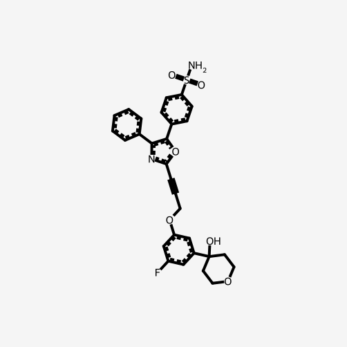 NS(=O)(=O)c1ccc(-c2oc(C#CCOc3cc(F)cc(C4(O)CCOCC4)c3)nc2-c2ccccc2)cc1